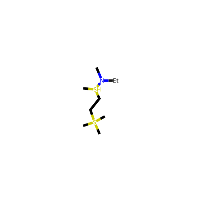 CCN(C)[SH](C)CCS(C)(C)C